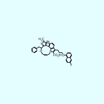 CCOC(=O)c1c(CCCOc2cccc3cc(F)ccc23)c2ccc(Cl)c3c2n1C/C=C\COC(Cc1ccccc1)c1nn(C)c(CC)c1-3